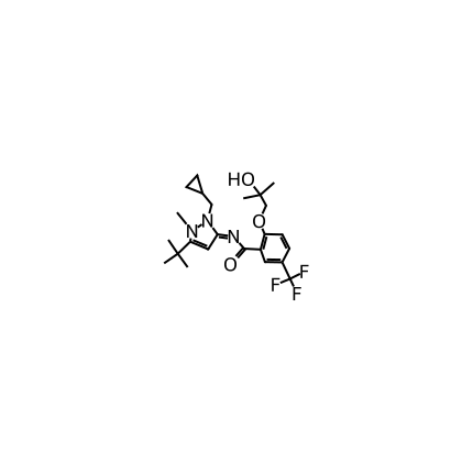 Cn1c(C(C)(C)C)c/c(=N\C(=O)c2cc(C(F)(F)F)ccc2OCC(C)(C)O)n1CC1CC1